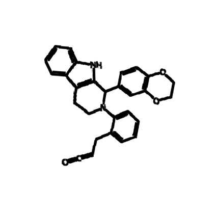 O=C=CCc1ccccc1N1CCc2c([nH]c3ccccc23)C1c1ccc2c(c1)OCCO2